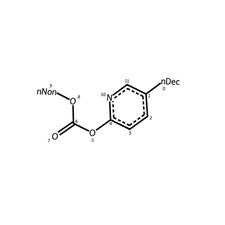 CCCCCCCCCCc1ccc(OC(=O)OCCCCCCCCC)nc1